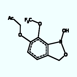 CC(=O)COc1ccc2c(c1OC(F)(F)F)B(O)OC2